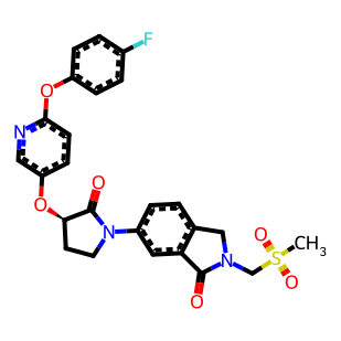 CS(=O)(=O)CN1Cc2ccc(N3CC[C@@H](Oc4ccc(Oc5ccc(F)cc5)nc4)C3=O)cc2C1=O